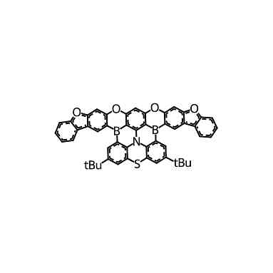 CC(C)(C)c1cc2c3c(c1)B1c4cc5c(cc4Oc4cc6c7c(c41)N3c1c(cc(C(C)(C)C)cc1B7c1cc3c(cc1O6)oc1ccccc13)S2)oc1ccccc15